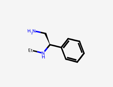 CCN[C@@H](CN)c1ccccc1